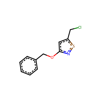 ClCc1cc(OCc2ccccc2)ns1